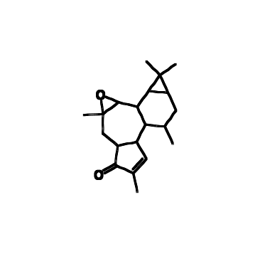 CC1=CC2C(CC3(C)OC3C3C2C(C)CC2C3C2(C)C)C1=O